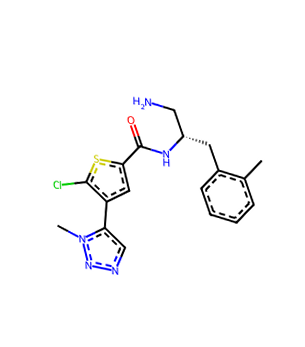 Cc1ccccc1C[C@@H](CN)NC(=O)c1cc(-c2cnnn2C)c(Cl)s1